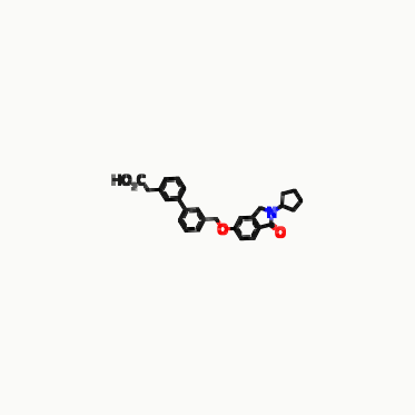 O=C(O)Cc1cccc(-c2cccc(COc3ccc4c(c3)CN(C3CCCC3)C4=O)c2)c1